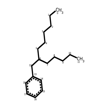 CCCCCC[C](CCCCC)Cc1ccccc1